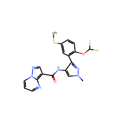 CCCSc1ccc(OC(F)F)c(-c2nn(C)cc2NC(=O)c2cnn3cccnc23)c1